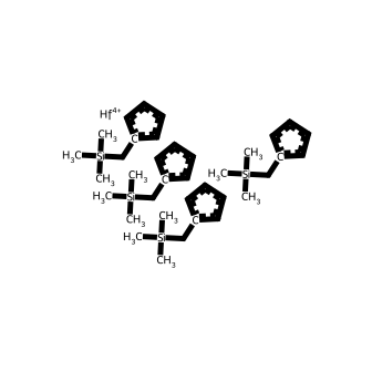 C[Si](C)(C)C[c-]1cccc1.C[Si](C)(C)C[c-]1cccc1.C[Si](C)(C)C[c-]1cccc1.C[Si](C)(C)C[c-]1cccc1.[Hf+4]